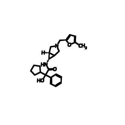 Cc1ccc(CN2CC3[C@H](C2)[C@H]3NC(=O)C(O)(c2ccccc2)C2CCCC2)o1